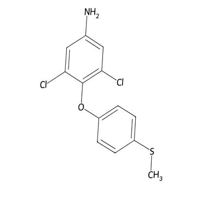 CSc1ccc(Oc2c(Cl)cc(N)cc2Cl)cc1